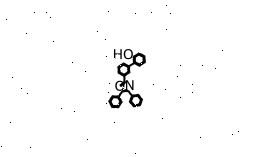 Oc1ccccc1-c1cccc(-c2nc(-c3ccccc3)c(-c3ccccc3)o2)c1